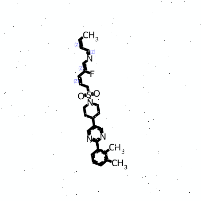 C\C=C/C=N\C=C(F)\C=C/CS(=O)(=O)N1CCC(c2cnc(-c3cccc(C)c3C)nc2)CC1